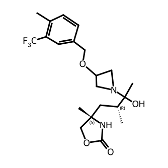 Cc1ccc(COC2CN(C(C)(O)[C@H](C)C[C@@]3(C)COC(=O)N3)C2)cc1C(F)(F)F